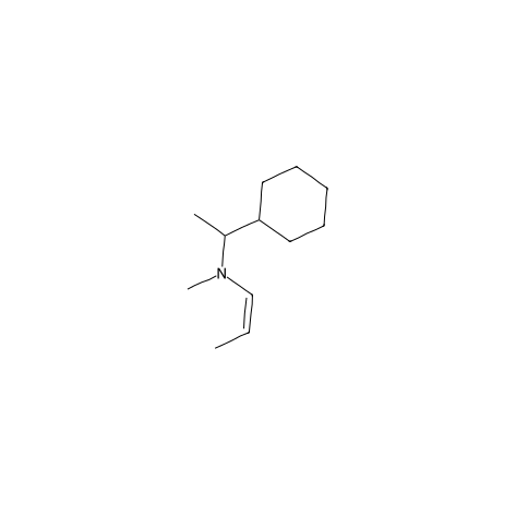 C/C=C\N(C)C(C)C1CCCCC1